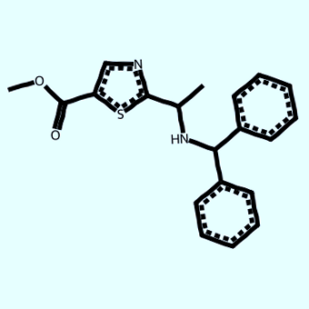 COC(=O)c1cnc(C(C)NC(c2ccccc2)c2ccccc2)s1